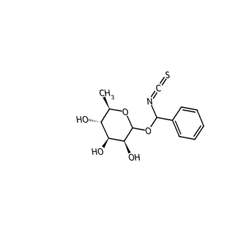 C[C@H]1OC(OC(N=C=S)c2ccccc2)[C@@H](O)[C@@H](O)[C@@H]1O